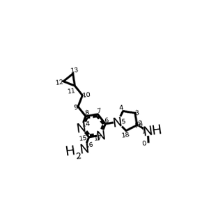 CN[C@@H]1CCN(c2cc(CCC3CC3)nc(N)n2)C1